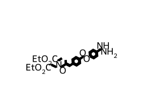 CCOC(=O)CCN(C(=O)/C(C)=C/c1ccc(C(=O)Oc2ccc(C(=N)N)cc2)cc1)[C@H](C)C(=O)OCC